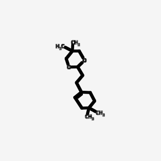 CC1(C)CC=C(CCC2OCC(C)(C)CO2)CC1